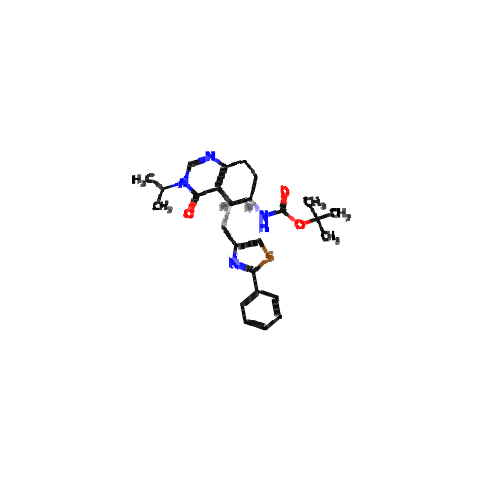 CC(C)n1cnc2c(c1=O)[C@@H](Cc1csc(-c3ccccc3)n1)[C@@H](NC(=O)OC(C)(C)C)CC2